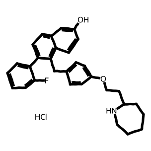 Cl.Oc1ccc2c(Cc3ccc(OCCC4CCCCCN4)cc3)c(-c3ccccc3F)ccc2c1